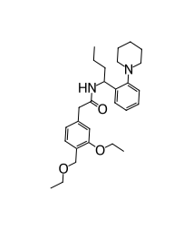 CCCC(NC(=O)Cc1ccc(COCC)c(OCC)c1)c1ccccc1N1CCCCC1